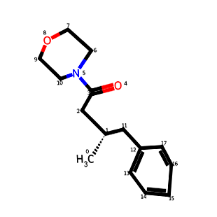 C[C@H](CC(=O)N1CCOCC1)Cc1ccccc1